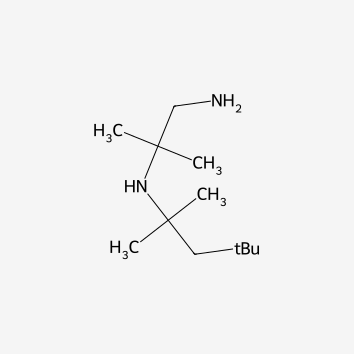 CC(C)(C)CC(C)(C)NC(C)(C)CN